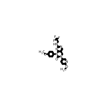 COc1ccc(N2C(=O)N(c3ccc(OC)nc3)Cc3cnc(NCC(F)(F)F)nc32)cc1